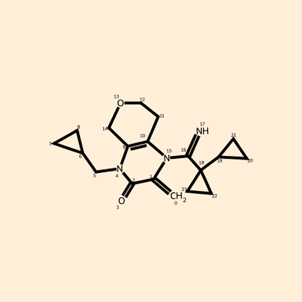 C=C1C(=O)N(CC2CC2)C2=C(CCOC2)N1C(=N)C1(C2CC2)CC1